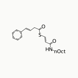 CCCCCCCCNC(=O)C=CSC(=O)CC=Cc1ccccc1